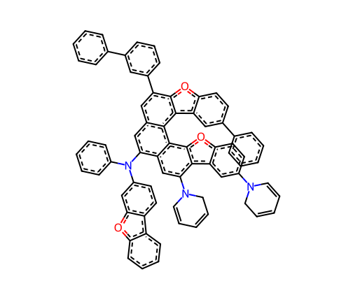 C1=CCN(c2ccc3oc4c(c(N5C=CC=CC5)cc5c(N(c6ccccc6)c6ccc7c(c6)oc6ccccc67)cc6cc(-c7cccc(-c8ccccc8)c7)c7oc8ccc(-c9ccccc9)cc8c7c6c54)c3c2)C=C1